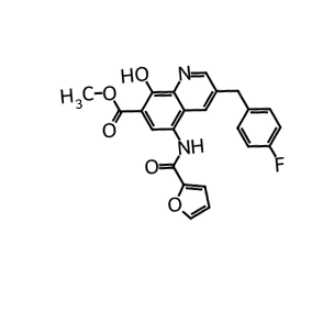 COC(=O)c1cc(NC(=O)c2ccco2)c2cc(Cc3ccc(F)cc3)cnc2c1O